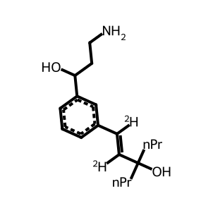 [2H]C(=C([2H])C(O)(CCC)CCC)c1cccc(C(O)CCN)c1